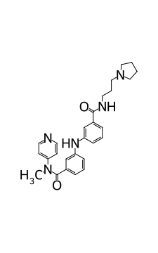 CN(C(=O)c1cccc(Nc2cccc(C(=O)NCCCN3CCCC3)c2)c1)c1ccncc1